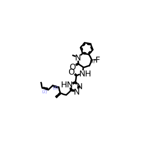 C=C(/C=C\C=C/C)Cc1nnc(C(=O)NC2C[C@H](F)c3ccccc3N(C)C2=O)[nH]1